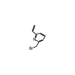 C=Cc1cccc(CBr)n1